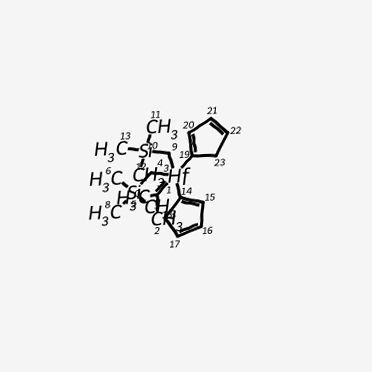 C[C](C)=[Hf]([CH2][Si](C)(C)C)([CH2][Si](C)(C)C)([C]1=CC=CC1)[C]1=CC=CC1